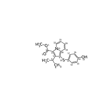 COC(=O)c1c(C(C)C)c(Sc2ccc(O)cc2)c2ccccn12